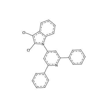 Clc1c(Cl)n(-c2cc(-c3ccccc3)nc(-c3ccccc3)c2)c2ccccc12